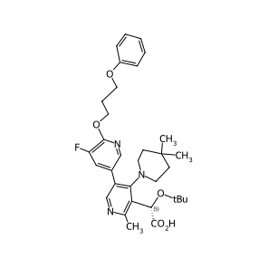 Cc1ncc(-c2cnc(OCCCOc3ccccc3)c(F)c2)c(N2CCC(C)(C)CC2)c1[C@H](OC(C)(C)C)C(=O)O